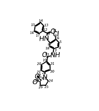 O=C(Nc1ccc(Cl)c(NC(=O)c2ccccc2)c1)c1ccc(N2CCCS2(=O)=O)cc1